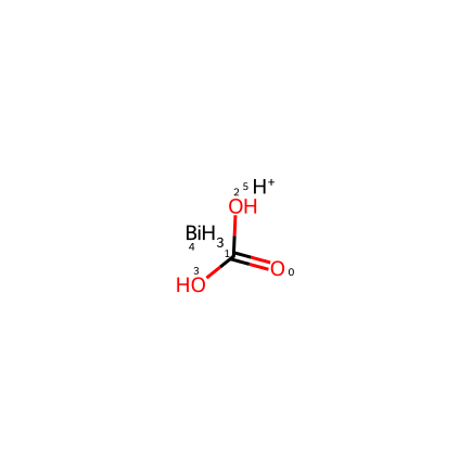 O=C(O)O.[BiH3].[H+]